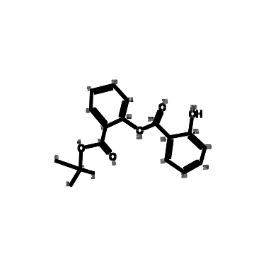 CC(C)(C)OC(=O)c1ccccc1OC(=O)c1ccccc1O